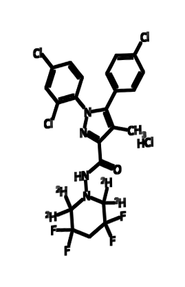 Cl.[2H]C1([2H])N(NC(=O)c2nn(-c3ccc(Cl)cc3Cl)c(-c3ccc(Cl)cc3)c2C)C([2H])([2H])C(F)(F)CC1(F)F